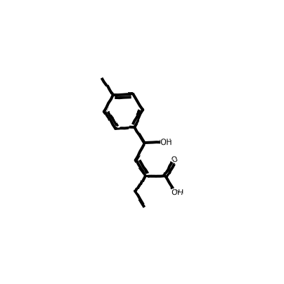 CCC(=CC(O)c1ccc(C)cc1)C(=O)O